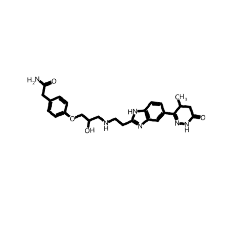 CC1CC(=O)NN=C1c1ccc2[nH]c(CCNCC(O)COc3ccc(CC(N)=O)cc3)nc2c1